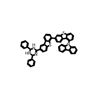 c1ccc(C2N=C(c3ccc4sc5c(-c6ccc7c(c6)sc6cccc(-n8c9ccccc9c9ccccc98)c67)cccc5c4c3)NC(c3ccccc3)N2)cc1